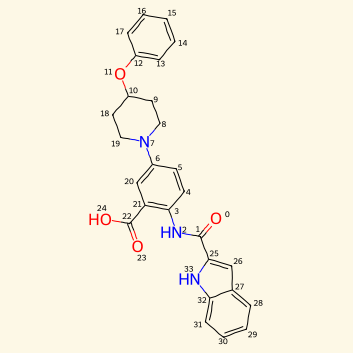 O=C(Nc1ccc(N2CCC(Oc3ccccc3)CC2)cc1C(=O)O)c1cc2ccccc2[nH]1